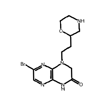 O=C1CN(CCC2CNCCO2)c2nc(Br)cnc2N1